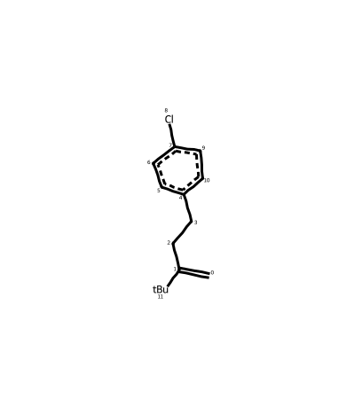 C=C(CCc1ccc(Cl)cc1)C(C)(C)C